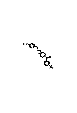 Cc1ccc(CNCC2(F)CCN(C(=O)c3cccc(C(F)(F)F)c3)CC2)nc1